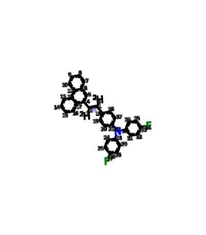 [2H]/C(=C(/[2H])c1cc2ccccc2c2ccccc12)c1ccc(N(c2ccc(F)cc2)c2ccc(F)cc2)cc1